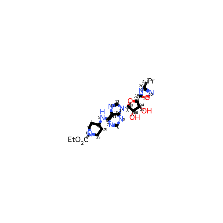 CCOC(=O)N1CCC(Nc2ncnc3c2ncn3[C@@H]2O[C@H](c3nc(C(C)C)no3)[C@@H](O)[C@@H]2O)CC1